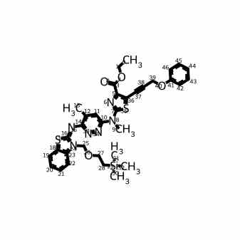 CCOC(=O)c1nc(N(C)c2cc(C)c(N=c3sc4ccccc4n3COCC[Si](C)(C)C)nn2)sc1C#CCOc1ccccc1